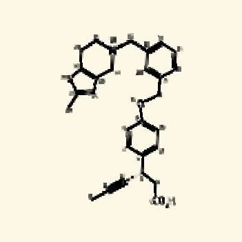 CC#C[C@@H](CC(=O)O)c1ccc(OCc2cccc(CN3CCc4sc(C)cc4C3)c2)cc1